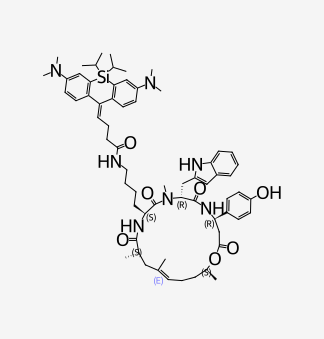 C/C1=C\CC[C@H](C)OC(=O)C[C@H](c2ccc(O)cc2)NC(=O)[C@@H](Cc2cc3ccccc3[nH]2)N(C)C(=O)[C@H](CCCCNC(=O)CCC=C2c3ccc(N(C)C)cc3[Si](C(C)C)(C(C)C)c3cc(N(C)C)ccc32)NC(=O)[C@@H](C)C1